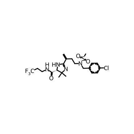 C=C(CCN(Cc1ccc(Cl)cc1)S(C)(=O)=O)C1=NC(C)(C)[C@H](C(=O)NCCC(F)(F)F)N1